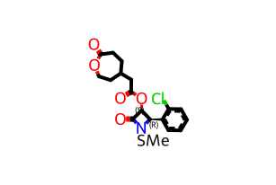 CSN1C(=O)[C@@H](OC(=O)CC2CCOC(=O)CC2)[C@H]1c1ccccc1Cl